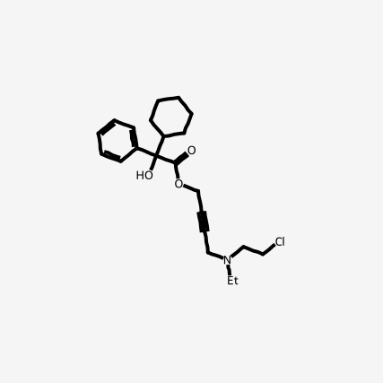 CCN(CC#CCOC(=O)C(O)(c1ccccc1)C1CCCCC1)CCCl